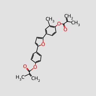 C=C(C)C(=O)Oc1ccc(-c2ccc(-c3ccc(OC(=O)C(=C)C)c(C)c3)o2)cc1